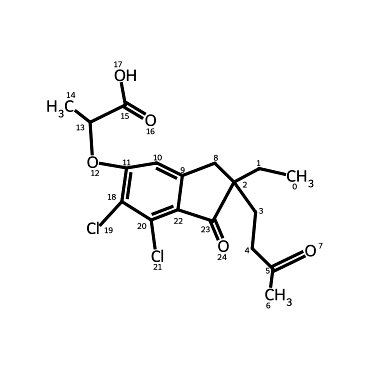 CCC1(CCC(C)=O)Cc2cc(OC(C)C(=O)O)c(Cl)c(Cl)c2C1=O